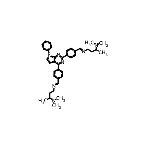 CC(CCN=Cc1ccc(-c2nc(-c3ccc(C=NCCC(C)N(C)C)cc3)c3ccn(-c4ccccc4)c3n2)cc1)N(C)C